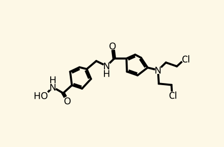 O=C(NO)c1ccc(CNC(=O)c2ccc(N(CCCl)CCCl)cc2)cc1